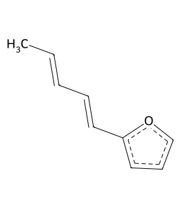 CC=CC=Cc1ccco1